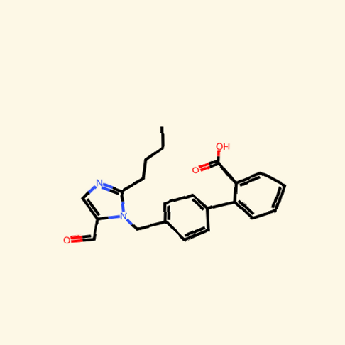 CCCCc1ncc(C=O)n1Cc1ccc(-c2ccccc2C(=O)O)cc1